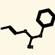 CC=COB(O)Oc1ccccc1